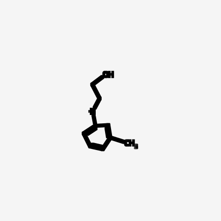 Cc1cccc([N]CCO)c1